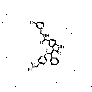 CCN(CC)Cc1ccc(NC(=C2C(=O)Nc3ccc(C(=O)NCc4cccc(Cl)c4)cc32)c2ccccc2)cc1